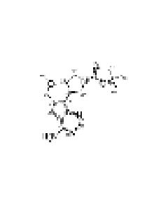 COCc1cc2c(N)ncnn2c1C1CCN(C(=O)OC(C)(C)C)C1